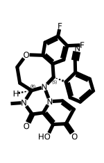 CN1C(=O)c2c(O)c(=O)ccn2N2[C@@H](c3ccccc3C#N)c3cc(F)c(F)cc3OCC[C@H]12